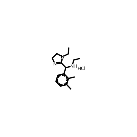 CCNC(C1=NCCN1CC)c1cccc(C)c1C.Cl